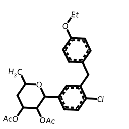 CCOc1ccc(Cc2cc(C3OC(C)CC(OC(C)=O)C3OC(C)=O)ccc2Cl)cc1